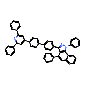 c1ccc(-c2cc(-c3ccc(-c4ccc(-c5nn(-c6ccccc6)c6c5c(-c5ccccc5)cc5ccccc56)cc4)cc3)cc(-c3ccccc3)n2)cc1